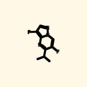 CC(C)c1nc2c(F)cnn2cc1F